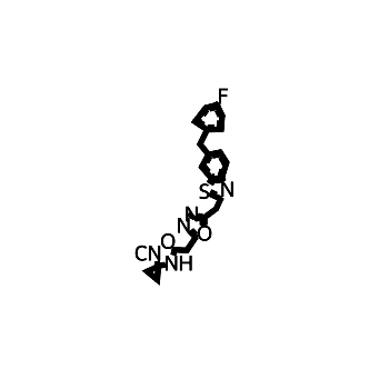 N#CC1(NC(=O)Cc2nnc(Cc3nc4ccc(Cc5ccc(F)cc5)cc4s3)o2)CC1